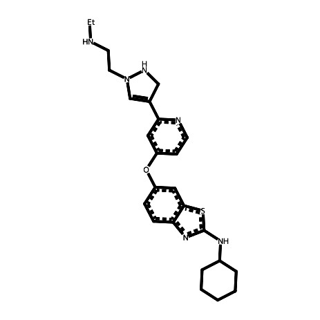 CCNCCN1C=C(c2cc(Oc3ccc4nc(NC5CCCCC5)sc4c3)ccn2)CN1